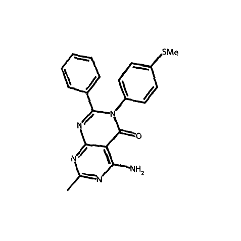 CSc1ccc(-n2c(-c3ccccc3)nc3nc(C)nc(N)c3c2=O)cc1